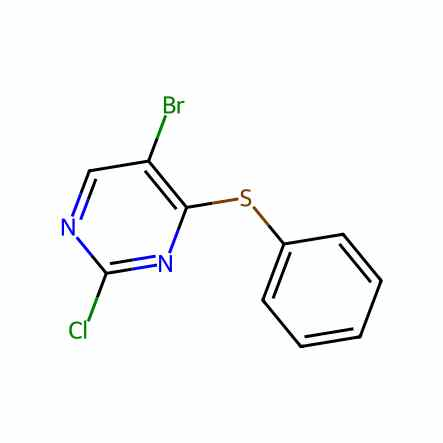 Clc1ncc(Br)c(Sc2ccccc2)n1